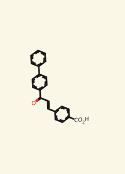 O=C(O)c1ccc(C=CC(=O)c2ccc(-c3ccccc3)cc2)cc1